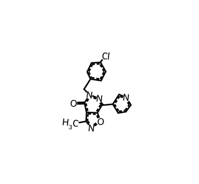 Cc1noc2c(-c3cccnc3)nn(Cc3ccc(Cl)cc3)c(=O)c12